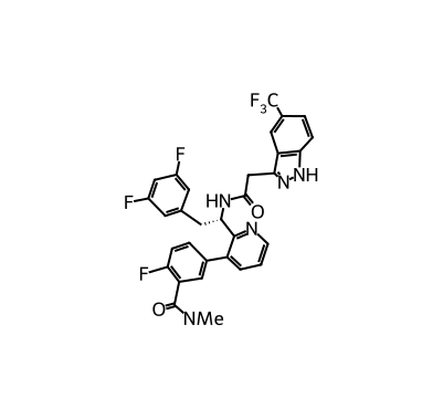 CNC(=O)c1cc(-c2cccnc2[C@H](Cc2cc(F)cc(F)c2)NC(=O)Cc2n[nH]c3ccc(C(F)(F)F)cc23)ccc1F